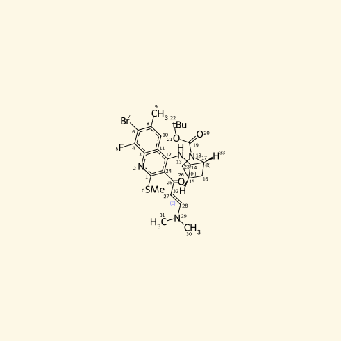 CSc1nc2c(F)c(Br)c(C)cc2c(NC2[C@@H]3C[C@H]2N(C(=O)OC(C)(C)C)C3)c1C(=O)/C=C/N(C)C